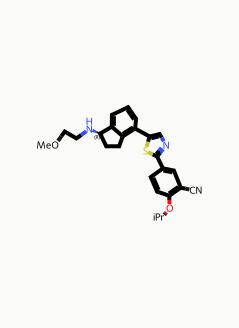 COCCN[C@@H]1CCc2c(-c3cnc(-c4ccc(OC(C)C)c(C#N)c4)s3)cccc21